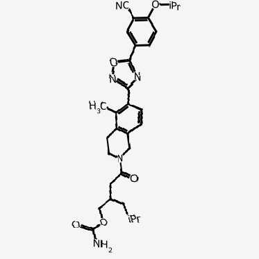 Cc1c(-c2noc(-c3ccc(OC(C)C)c(C#N)c3)n2)ccc2c1CCN(C(=O)CC(COC(N)=O)CC(C)C)C2